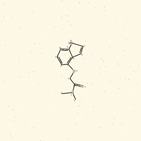 CN(C)C(=O)COc1cccc2[nH]ccc12